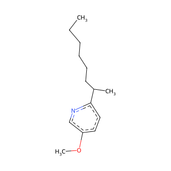 CCCCCCC(C)c1ccc(OC)cn1